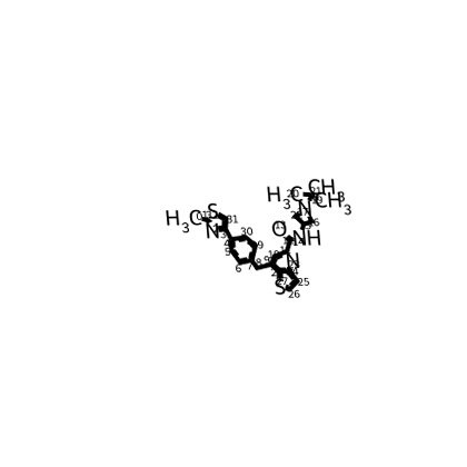 Cc1nc(-c2ccc(Cc3cc(C(=O)NC4CN(C(C)(C)C)C4)nc4ccsc34)cc2)cs1